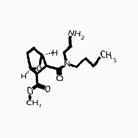 CCCCN(CCN)C(=O)C1C(C(=O)OC)[C@H]2CC[C@@H]1O2